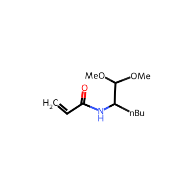 C=CC(=O)NC(CCCC)C(OC)OC